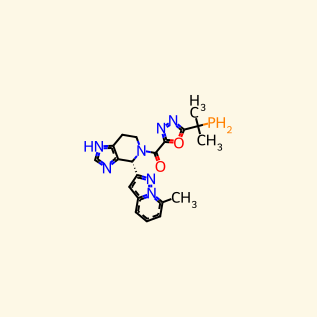 Cc1cccc2cc([C@@H]3c4nc[nH]c4CCN3C(=O)c3nnc(C(C)(C)P)o3)nn12